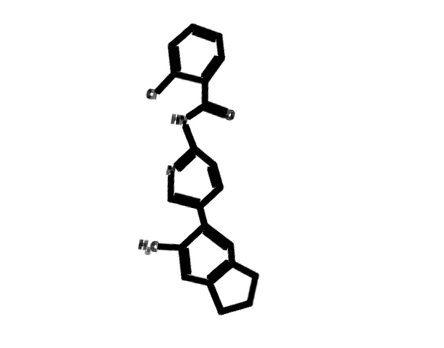 Cc1cc2c(cc1-c1ccc(NC(=O)c3ccccc3Cl)nc1)CCC2